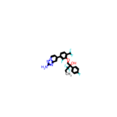 CCC(F)(F)C(O)(COc1c(C(F)F)ccc(-c2ccn3nc(N)nc3c2)c1F)c1ccc(F)cc1